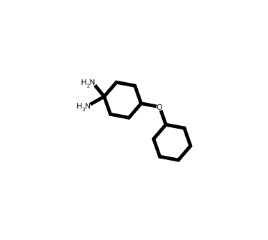 NC1(N)CCC(OC2CCCCC2)CC1